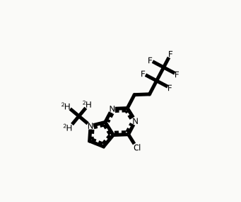 [2H]C([2H])([2H])n1ccc2c(Cl)nc(CCC(F)(F)C(F)(F)F)nc21